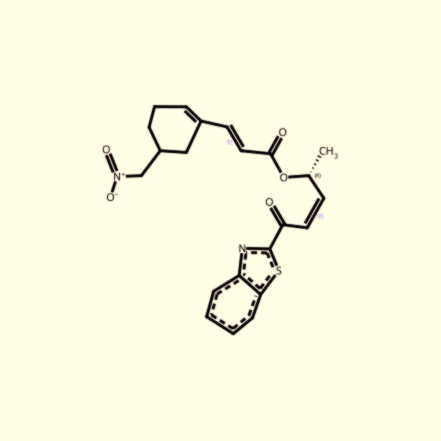 C[C@H](/C=C\C(=O)c1nc2ccccc2s1)OC(=O)/C=C/C1=CCCC(C[N+](=O)[O-])C1